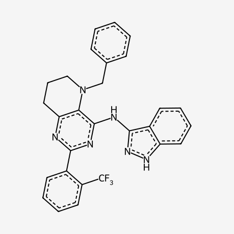 FC(F)(F)c1ccccc1-c1nc2c(c(Nc3n[nH]c4ccccc34)n1)N(Cc1ccccc1)CCC2